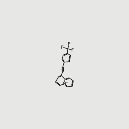 FC(F)(F)c1ccc(C#Cc2ccc[n+]3ccccc23)cc1